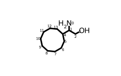 NC(CO)C1CCCCCCCCC1